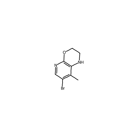 Cc1c(Br)cnc2c1NCCO2